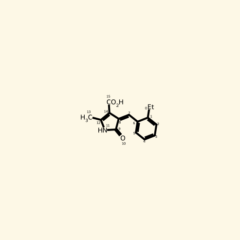 CCc1ccccc1/C=C1\C(=O)NC(C)=C1C(=O)O